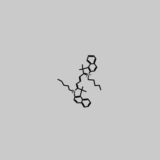 CCCCCN1/C(=C/C=C/C2=[N+](CCCCC)c3ccc4ccccc4c3C2(C)C)C(C)(C)c2c1ccc1ccccc21